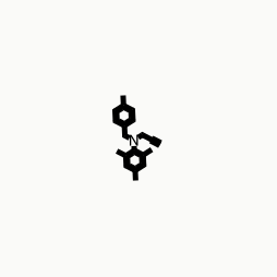 C#CCN(Cc1ccc(C)cc1)c1c(C)cc(C)cc1C